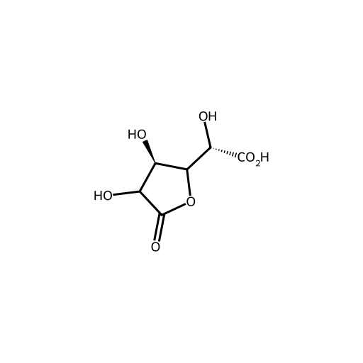 O=C1OC([C@H](O)C(=O)O)[C@H](O)C1O